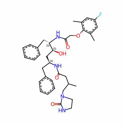 Cc1cc(F)cc(C)c1OCC(=O)N[C@@H](Cc1ccccc1)[C@@H](O)C[C@H](Cc1ccccc1)NC(=O)CC(C)CN1CCNC1=O